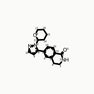 O=C1NCCc2cc(-c3ccnn3C3CCCCO3)ccc21